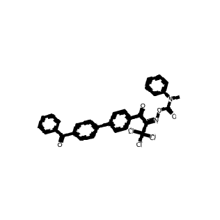 CN(C(=O)O/N=C(\C(=O)c1ccc(-c2ccc(C(=O)c3ccccc3)cc2)cc1)C(Cl)(Cl)Cl)c1ccccc1